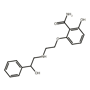 NC(=O)c1c(O)cccc1OCCNCC(O)c1ccccc1